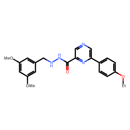 CCOc1ccc(-c2cncc(C(=O)NNCc3cc(OC)cc(OC)c3)n2)cc1